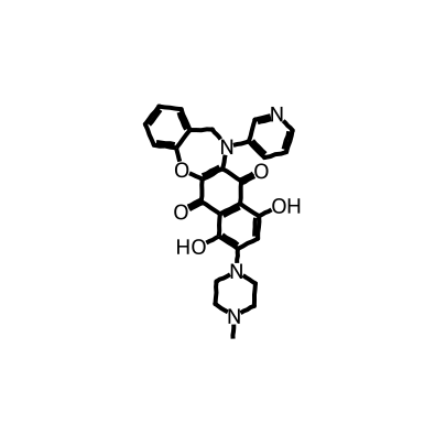 CN1CCN(c2cc(O)c3c(c2O)C(=O)C2=C(C3=O)N(c3cccnc3)Cc3ccccc3O2)CC1